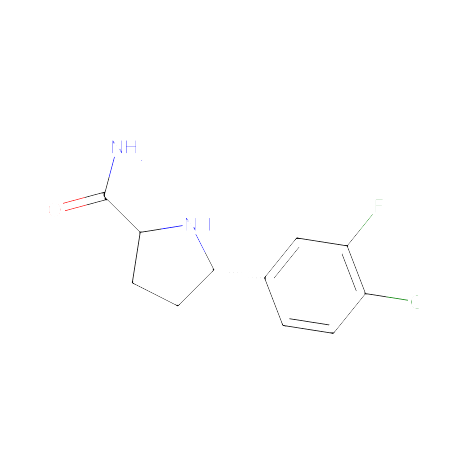 NC(=O)C1CC[C@@H](c2ccc(Cl)c(F)c2)N1